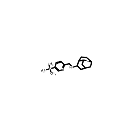 C[Si](C)(C)c1ccc(CNC2CC3CC4CCC2C(C4)C3)nc1